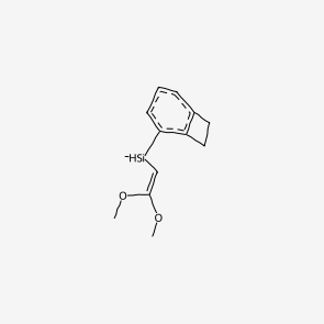 COC(=C[SiH](C)c1cccc2c1CC2)OC